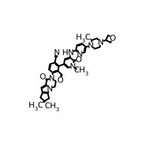 C[C@H]1CN(C2COC2)CCN1c1ccc(Nc2cc(-c3c(C#N)ccc(N4CCn5c(cc6c5CC(C)(C)C6)C4=O)c3C=O)cn(C)c2=O)nc1